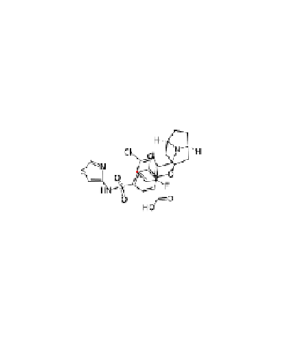 O=CO.O=S(=O)(Nc1cscn1)c1ccc(O[C@H]2C[C@H]3CC[C@@H](C2)N3Cc2cc(Cl)ccc2F)c(Cl)c1